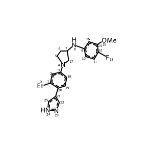 CCc1cc(N2CCC(Nc3ccc(F)c(OC)c3)C2)ccc1-c1cn[nH]c1